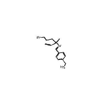 C=CC(C)(CCCC(C)C)N=Cc1ccc(CS)cc1